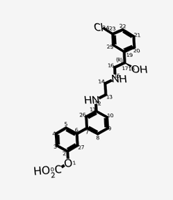 O=C(O)Oc1cccc(-c2cccc(NCCNC[C@H](O)c3cccc(Cl)c3)c2)c1